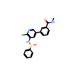 CNC(=O)c1cccc(-c2cnc(Cl)c(N[S+]([O-])c3ccccc3)c2)c1